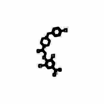 O=C(COc1c(Cl)cc([N+](=O)[O-])cc1Cl)N1CCN(Cc2ccc(Cl)cc2)CC1